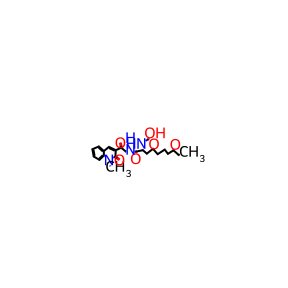 CCC(=O)CCCCCC(NC(=O)O)C(=O)NCC(=O)c1cc2ccccc2n(C)c1=O